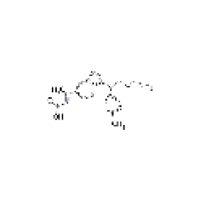 CCCCC(c1ccc(C)cc1)n1ccc2cc(/C(C)=C/C(=O)O)ccc21